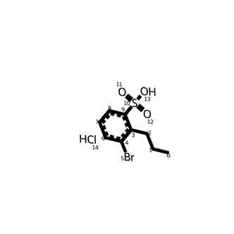 CCCc1c(Br)cccc1S(=O)(=O)O.Cl